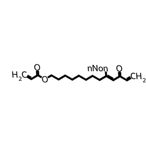 C=CC(=O)/C=C(\CCCCCCCCC)CCCCCCCCOC(=O)C=C